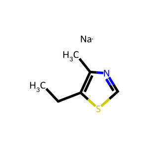 CCc1scnc1C.[Na]